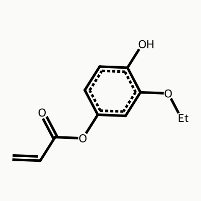 C=CC(=O)Oc1ccc(O)c(OCC)c1